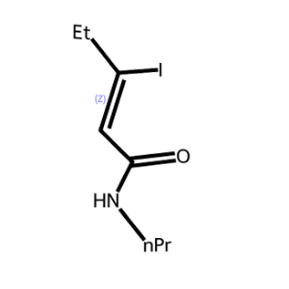 CCCNC(=O)/C=C(\I)CC